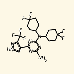 Nc1nc(-c2c[nH]nc2C(F)(F)F)nc(N(C2CCC(F)(F)CC2)C2CCC(F)(F)CC2)n1